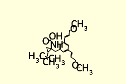 COCC=Cc1cc(C=CCOC)cc(CC2(NC(=O)O)CC2C(C)(C)C)c1